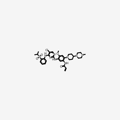 C=CC(=O)Nc1cc(Nc2ncc(Cl)c(Nc3ccccc3S(=O)(=O)C(C)C)n2)c(OC)cc1N1CCC(N2CCN(C)CC2)CC1